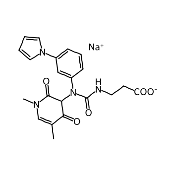 CC1=CN(C)C(=O)C(N(C(=O)NCCC(=O)[O-])c2cccc(-n3cccc3)c2)C1=O.[Na+]